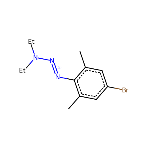 CCN(CC)/N=N/c1c(C)cc(Br)cc1C